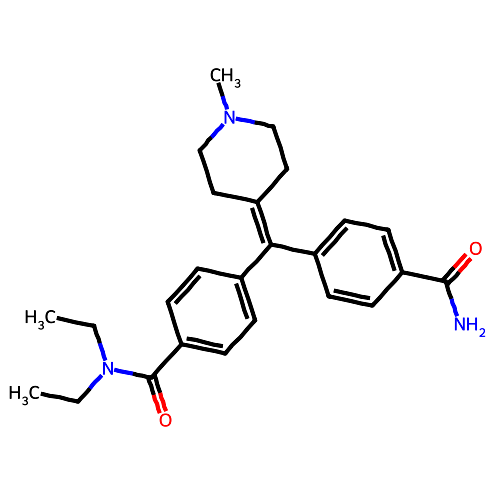 CCN(CC)C(=O)c1ccc(C(=C2CCN(C)CC2)c2ccc(C(N)=O)cc2)cc1